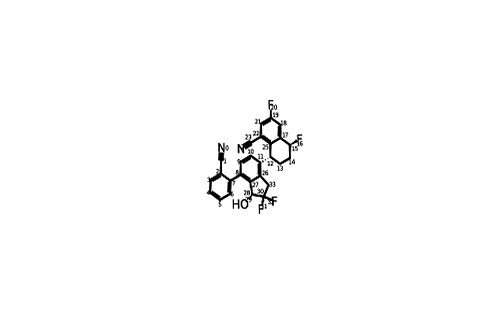 N#Cc1ccccc1-c1ccc([C@H]2CC[C@H](F)c3cc(F)cc(C#N)c32)c2c1[C@H](O)C(F)(F)C2